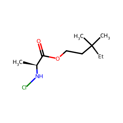 CCC(C)(C)CCOC(=O)[C@H](C)NCl